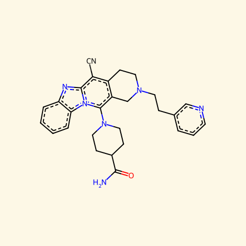 N#Cc1c2c(c(N3CCC(C(N)=O)CC3)n3c1nc1ccccc13)CN(CCc1cccnc1)CC2